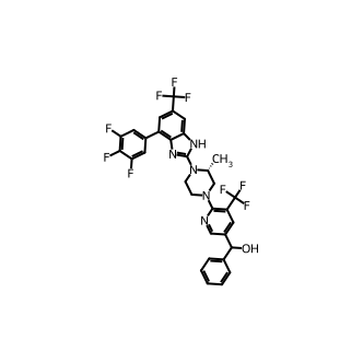 C[C@@H]1CN(c2ncc(C(O)c3ccccc3)cc2C(F)(F)F)CCN1c1nc2c(-c3cc(F)c(F)c(F)c3)cc(C(F)(F)F)cc2[nH]1